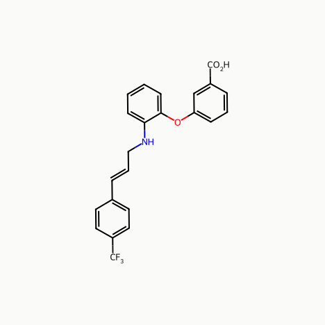 O=C(O)c1cccc(Oc2ccccc2NCC=Cc2ccc(C(F)(F)F)cc2)c1